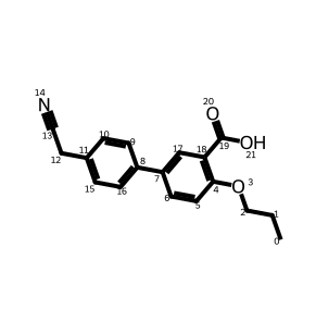 CCCOc1ccc(-c2ccc(CC#N)cc2)cc1C(=O)O